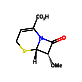 CO[C@H]1C(=O)N2C(C(=O)O)=CCS[C@@H]12